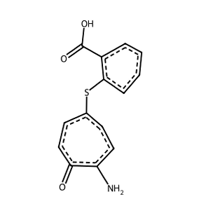 Nc1ccc(Sc2ccccc2C(=O)O)ccc1=O